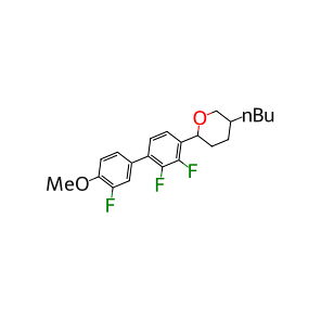 CCCCC1CCC(c2ccc(-c3ccc(OC)c(F)c3)c(F)c2F)OC1